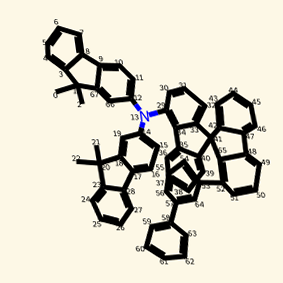 CC1(C)c2ccccc2-c2ccc(N(c3ccc4c(c3)C(C)(C)c3ccccc3-4)c3cccc4c3-c3ccccc3C43c4ccccc4-c4cccc(-c5cccc(-c6ccccc6)c5)c43)cc21